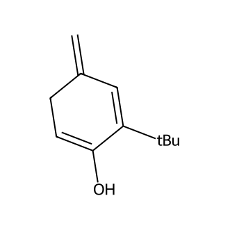 C=C1C=C(C(C)(C)C)C(O)=CC1